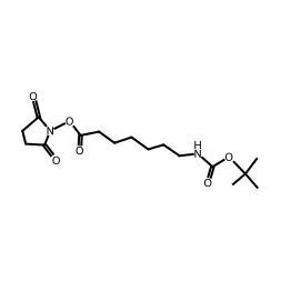 CC(C)(C)OC(=O)NCCCCCCC(=O)ON1C(=O)CCC1=O